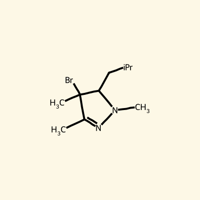 CC1=NN(C)C(CC(C)C)C1(C)Br